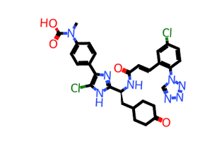 CN(C(=O)O)c1ccc(-c2nc([C@H](CC3CCC(=O)CC3)NC(=O)/C=C/c3cc(Cl)ccc3-n3cnnn3)[nH]c2Cl)cc1